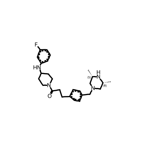 C[C@@H]1CN(Cc2ccc(CCC(=O)N3CCC(Nc4cccc(F)c4)CC3)cc2)C[C@H](C)N1